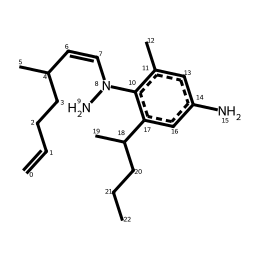 C=CCCC(C)/C=C\N(N)c1c(C)cc(N)cc1C(C)CCC